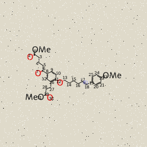 COC(=O)CCCC(=O)c1ccc(OCCCC/C=C/c2ccc(OC)cc2)c(CCC(=O)OC)c1